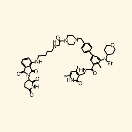 CCN(c1cc(-c2ccc(CN3CCN(C(=O)CNCCCCNc4cccc5c4C(=O)N(C4CCC(=O)NC4=O)C5=O)CC3)cc2)cc(C(=O)NCc2c(C)cc(C)[nH]c2=O)c1C)C1CCOCC1